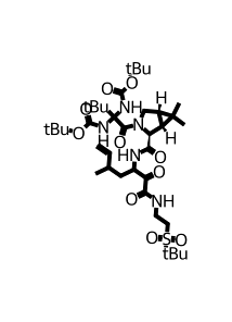 C=CC(C)CC(NC(=O)[C@@H]1[C@@H]2[C@H](CN1C(=O)C(NC(=O)OC(C)(C)C)(NC(=O)OC(C)(C)C)C(C)(C)C)C2(C)C)C(=O)C(=O)NCCS(=O)(=O)C(C)(C)C